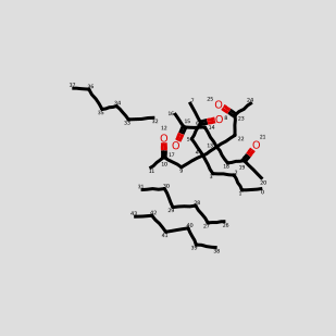 CCCCC(CC(C)=O)(CC(C)=O)C(CC(C)=O)(CC(C)=O)CC(C)=O.CCCCCC.CCCCCC.CCCCCC